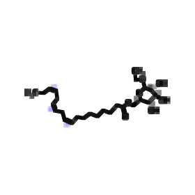 CC/C=C\C/C=C\C/C=C\CCCCCCCC(=O)OC[C@H]1OC(OCC)[C@H](O)[C@@H](O)[C@@H]1O